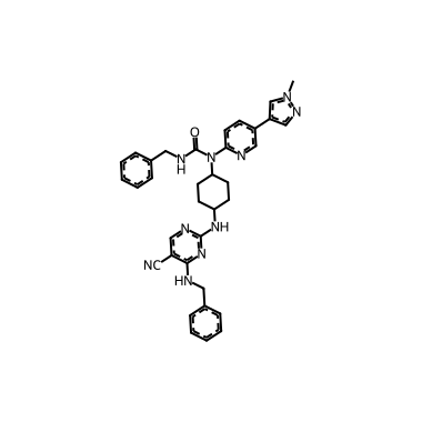 Cn1cc(-c2ccc(N(C(=O)NCc3ccccc3)C3CCC(Nc4ncc(C#N)c(NCc5ccccc5)n4)CC3)nc2)cn1